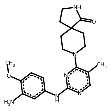 COc1ccc(Nc2ncc(C)c(N3CCC4(CCNC4=O)CC3)n2)cc1N